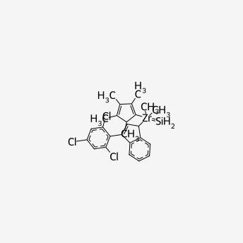 CC1=C(C)C(C)[C]([Zr]([CH3])([CH3])(=[SiH2])[CH]2C=C(c3c(Cl)cc(Cl)cc3Cl)c3ccccc32)=C1C